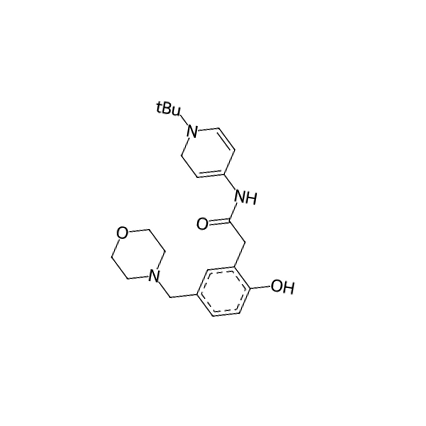 CC(C)(C)N1C=CC(NC(=O)Cc2cc(CN3CCOCC3)ccc2O)=CC1